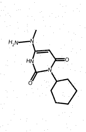 CN(N)c1cc(=O)n(C2CCCCC2)c(=O)[nH]1